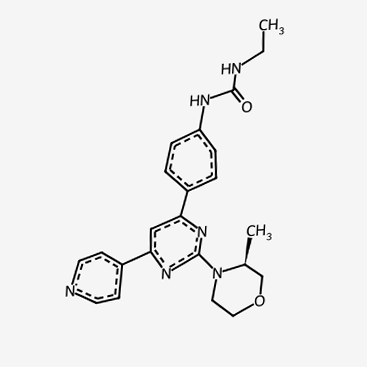 CCNC(=O)Nc1ccc(-c2cc(-c3ccncc3)nc(N3CCOC[C@@H]3C)n2)cc1